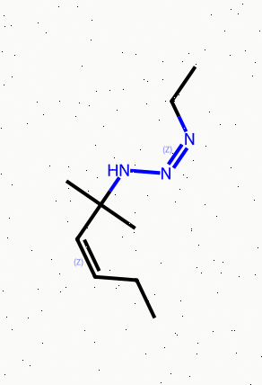 CC/C=C\C(C)(C)N/N=N\CC